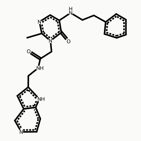 Cc1ncc(NCCc2ccccc2)c(=O)n1CC(=O)NCc1cc2cnccc2[nH]1